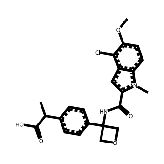 COc1ccc2c(cc(C(=O)NC3(c4ccc(C(C)C(=O)O)cc4)COC3)n2C)c1Cl